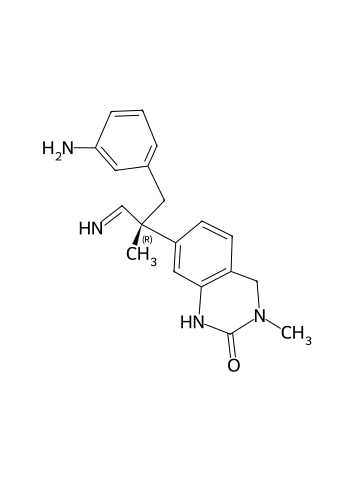 CN1Cc2ccc([C@](C)(C=N)Cc3cccc(N)c3)cc2NC1=O